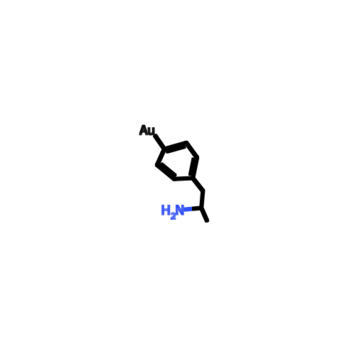 CC(N)Cc1cc[c]([Au])cc1